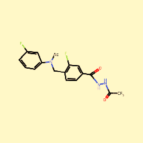 CC(=O)N(Cc1ccc(C(=O)NNC(=O)C(F)(F)F)cc1F)c1cccc(F)c1